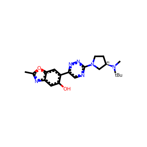 Cc1nc2cc(O)c(-c3cnc(N4CC[C@@H](N(C)C(C)(C)C)C4)nn3)cc2o1